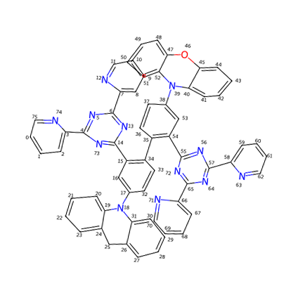 c1ccc(-c2nc(-c3ccccn3)nc(-c3cc(N4c5ccccc5Cc5ccccc54)ccc3-c3ccc(N4c5ccccc5Oc5ccccc54)cc3-c3nc(-c4ccccn4)nc(-c4ccccn4)n3)n2)nc1